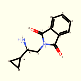 N[C@@H](CN1C(=O)c2ccccc2C1=O)C1CC1